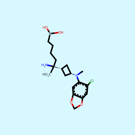 CN(c1cc2c(cc1Cl)OCO2)[C@H]1C[C@@H](C(N)(CCCCB(O)O)C(=O)O)C1